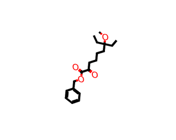 CCC(CC)(CCCCC(=O)C(=O)OCc1ccccc1)OC